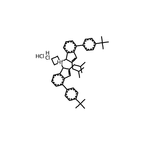 CC(C)CC1=Cc2c(-c3ccc(C(C)(C)C)cc3)cccc2[CH]1[Hf]1([CH]2C(CC(C)C)=Cc3c(-c4ccc(C(C)(C)C)cc4)cccc32)[CH2]C[CH2]1.Cl.Cl